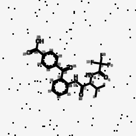 CC(C)C(NC(=O)C(F)(F)F)C(=O)Nc1ccccc1C(=O)c1ccc(C(=O)O)cc1